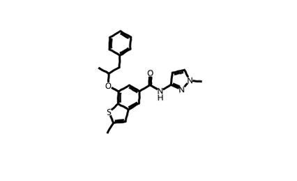 Cc1cc2cc(C(=O)Nc3ccn(C)n3)cc(OC(C)Cc3ccccc3)c2s1